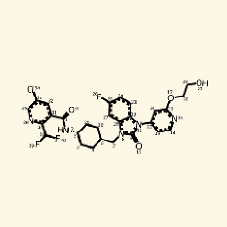 O=C(N[C@H]1CC[C@H](Cn2c(=O)n(-c3ccnc(OCCO)c3)c3ccc(F)cc32)CC1)c1cc(Cl)cnc1C(F)F